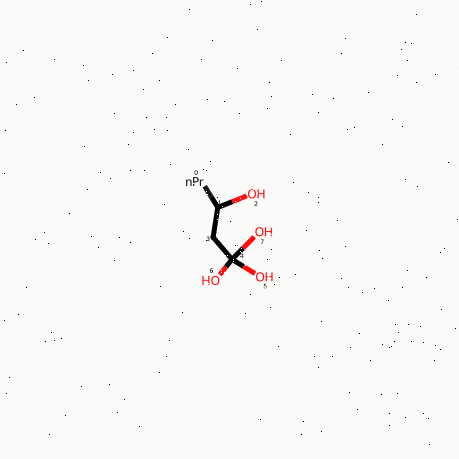 CCCC(O)CC(O)(O)O